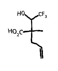 C=CCC(C)(C(=O)O)C(O)C(F)(F)F